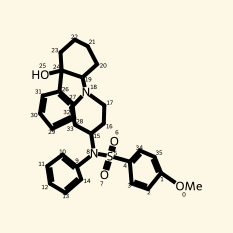 COc1ccc(S(=O)(=O)N(c2ccccc2)C2CCN(C3CCCCC3(O)c3ccccc3)CC2)cc1